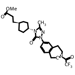 COC(=O)CC[C@H]1CC[C@H](n2c(C)nn(-c3ccc4c(c3)CCN(C(=O)C(F)(F)F)CC4)c2=O)CC1